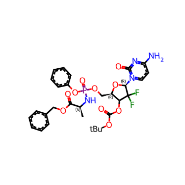 C[C@H](NP(=O)(OC[C@H]1O[C@@H](n2ccc(N)nc2=O)C(F)(F)C1OC(=O)OC(C)(C)C)Oc1ccccc1)C(=O)OCc1ccccc1